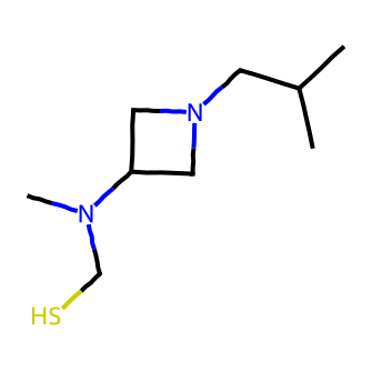 CC(C)CN1CC(N(C)CS)C1